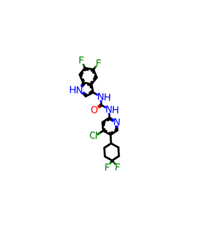 O=C(Nc1cc(Cl)c(C2CCC(F)(F)CC2)cn1)Nc1c[nH]c2cc(F)c(F)cc12